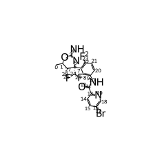 CC1OC(N)=N[C@](c2cc(NC(=O)c3ccc(Br)cn3)ccc2F)(C(F)F)[C@@H]1C